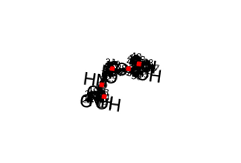 CCC(C)(C)CN(CCNCCc1ccc(O)c2c1OCC(=O)N2)C(=O)CCOCCc1ccc(O)c(C2(c3ccccc3)CCN(C)CC2)c1